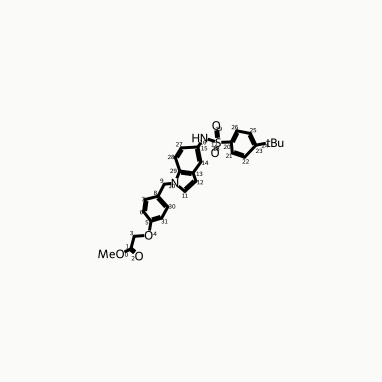 COC(=O)COc1ccc(Cn2ccc3cc(NS(=O)(=O)c4ccc(C(C)(C)C)cc4)ccc32)cc1